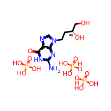 Nc1nc2c(ncn2CC[C@@H](O)CO)c(=O)[nH]1.O=P(O)(O)O.O=P(O)(O)O.O=P(O)(O)O